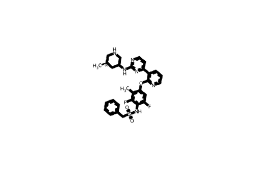 Cc1c(Oc2ncccc2-c2ccnc(NC3CNC[C@H](C)C3)n2)cc(F)c(NS(=O)(=O)Cc2ccccc2)c1F